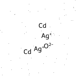 [Ag+].[Ag+].[Cd].[Cd].[O-2]